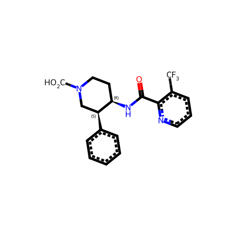 O=C(N[C@@H]1CCN(C(=O)O)C[C@@H]1c1ccccc1)c1ncccc1C(F)(F)F